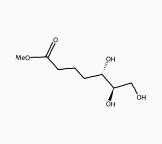 COC(=O)CCC[C@H](O)[C@H](O)CO